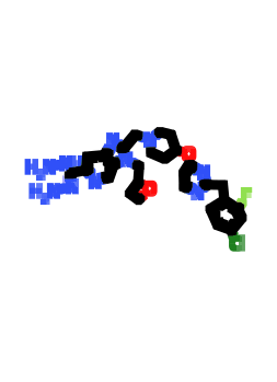 N/N=C(\NN)c1cc2nc(CN3CCC(Oc4ccnc(Cc5ccc(Cl)cc5F)n4)CC3)n(CC3CCO3)c2cn1